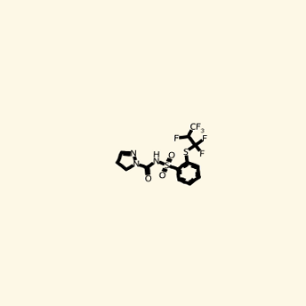 O=C(NS(=O)(=O)c1ccccc1SC(F)(F)C(F)C(F)(F)F)N1CCC=N1